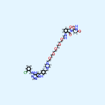 O=C1CCC(N2C(=O)c3cccc(NCCOCCOCCOCCOCCOCCN4CCN(Cc5ccc(-c6cc7c(NCc8ccccc8Cl)ncnc7[nH]6)cc5)CC4)c3C2=O)C(=O)N1